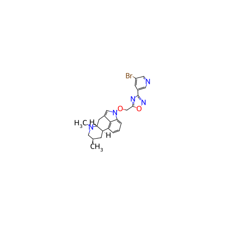 C[C@@H]1C[C@@H]2c3cccc4c3c(cn4OCc3nc(-c4cncc(Br)c4)no3)C[C@H]2N(C)C1